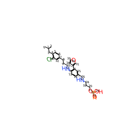 CC(C)Cc1ccc(CCCNc2ccc(CNCCCO[PH](=O)O)cc2-c2ccoc2)cc1Cl